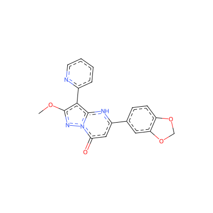 COc1nn2c(=O)cc(-c3ccc4c(c3)OCO4)[nH]c2c1-c1ccccn1